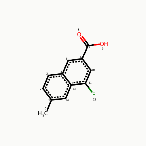 Cc1ccc2cc(C(=O)O)cc(F)c2c1